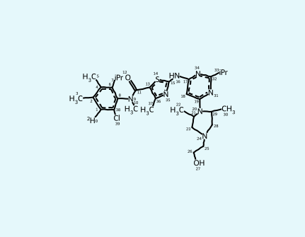 [2H]c1c(C)c(C)c(C(C)C)c(N(C)C(=O)c2sc(Nc3cc(N4C(C)CN(CCO)CC4C)nc(C(C)C)n3)nc2C)c1Cl